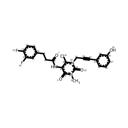 Cn1c(=O)c(NC(=O)CCc2ccc(F)c(F)c2)c(Cl)n(CC#Cc2cccc(O)c2)c1=O